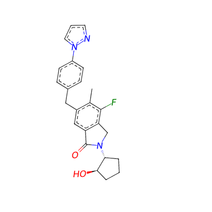 Cc1c(Cc2ccc(-n3cccn3)cc2)cc2c(c1F)CN([C@@H]1CCC[C@H]1O)C2=O